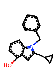 Oc1cccc2c1cc(C1CC1)n2Cc1ccccc1